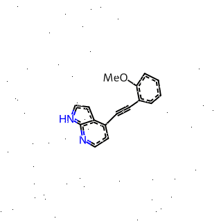 COc1ccccc1C#Cc1ccnc2[nH]ccc12